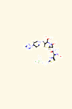 CON=C(C(=O)N[C@@H]1C(=O)N2C(C(=O)[O-])=C(C[n+]3ccc(-n4cncn4)cc3)CS[C@@H]12)c1csc(N)n1.Cl.Cl